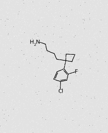 NCCCCC1(c2ccc(Cl)cc2F)CCC1